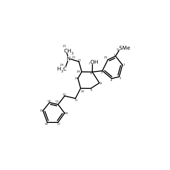 CSc1cccc(C2(O)CCC(CCc3ccccc3)CC2CN(C)C)c1